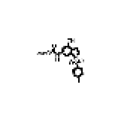 COC(=O)Nc1cc(C#N)c2ccn(S(=O)(=O)c3ccc(C)cc3)c2c1